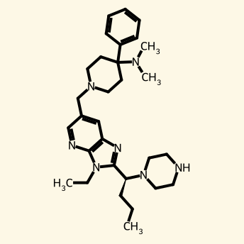 CCC[C@@H](c1nc2cc(CN3CCC(c4ccccc4)(N(C)C)CC3)cnc2n1CC)N1CCNCC1